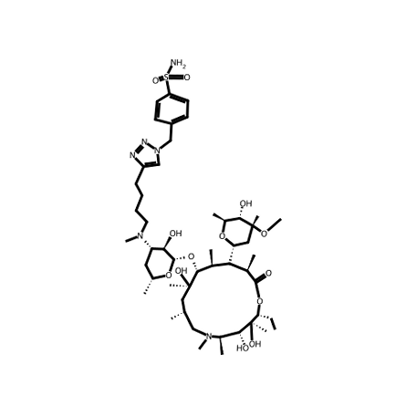 CC[C@H]1OC(=O)[C@H](C)C([C@H]2C[C@@](C)(OC)[C@@H](O)[C@H](C)O2)[C@H](C)[C@@H](O[C@@H]2O[C@H](C)C[C@H](N(C)CCCCc3cn(Cc4ccc(S(N)(=O)=O)cc4)nn3)[C@H]2O)[C@](C)(O)C[C@@H](C)CN(C)[C@H](C)[C@@H](O)[C@]1(C)O